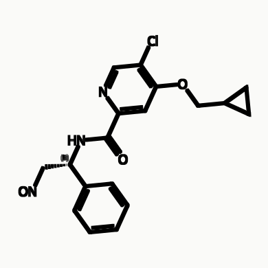 O=NC[C@H](NC(=O)c1cc(OCC2CC2)c(Cl)cn1)c1ccccc1